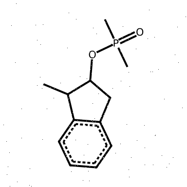 CC1c2ccccc2CC1OP(C)(C)=O